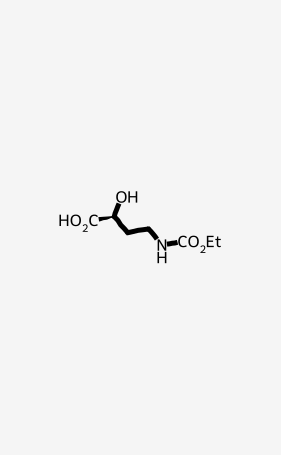 CCOC(=O)NCC[C@H](O)C(=O)O